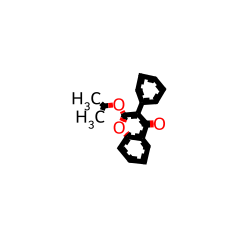 CC(C)Oc1oc2ccccc2c(=O)c1-c1ccccc1